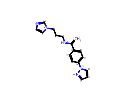 C=C(NCCCn1ccnc1)c1ccc(-n2cccn2)cc1